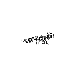 Cc1cc(N2CCNC(C)C2)nc2ccc(NC(=O)COc3ccc(OC(F)(F)F)cc3)cc12